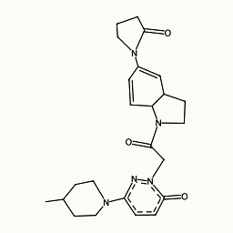 CC1CCN(c2ccc(=O)n(CC(=O)N3CCC4C=C(N5CCCC5=O)C=CC43)n2)CC1